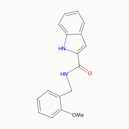 COc1ccccc1CNC(=O)c1cc2ccccc2[nH]1